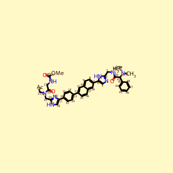 CCCN(Cc1ncc(-c2ccc3cc(-c4ccc(-c5c[nH]c(CN(CC(C)=O)C(=O)CNC(=O)OC)n5)cc4)ccc3c2)[nH]1)C(=O)C(c1ccccc1)N(C)C